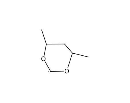 CC1CC(C)O[CH]O1